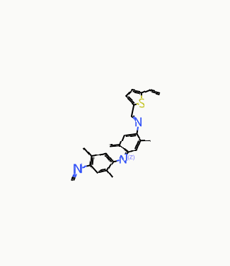 C=Cc1ccc(C=NC2=CC(=C)/C(=N\c3cc(C)c(N=C)cc3C)C=C2C)s1